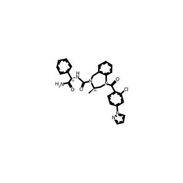 C[C@@H]1CN(C(=O)c2ccc(-n3cccn3)cc2Cl)c2ccccc2CN1C(=O)N[C@H](C(N)=O)c1ccccc1